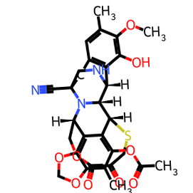 COc1c(C)cc2c(c1O)[C@H]1NCC(C#N)(C2)N2[C@H]1[C@@H]1SCC(=O)C(=O)OC[C@H]2c2c3c(c(C)c(OC(C)=O)c21)OCO3